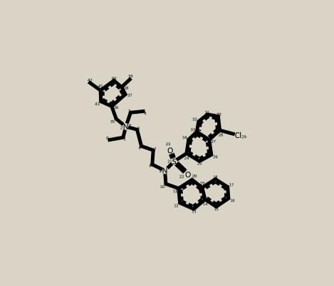 CC[N+](CC)(CCCCN(Cc1ccc2ccccc2c1)S(=O)(=O)c1ccc2c(Cl)cccc2c1)Cc1cc(C)cc(C)c1